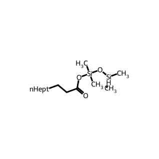 CCCCCCCCCC(=O)O[Si](C)(C)O[SiH](C)C